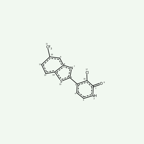 O=c1[nH]ccc(-c2nc3cc(C(F)(F)F)ccc3s2)c1Cl